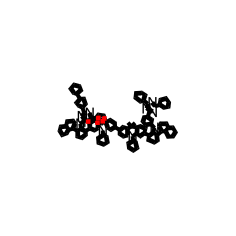 CC1(C)c2ccc(-c3ccc4c(c3)C(C)(C)c3ccc(-c5cccc6c7c8ccccc8ccc7n(-c7cccc(-c8nc(-c9ccccc9)nc(-c9ccccc9)n8)c7)c56)cc3N4c3ccccc3)cc2N(c2ccccc2)c2cc(-c3cccc4c5c6ccccc6ccc5n(-c5nc(-c6ccccc6)nc(-c6ccc(-c7ccccc7)cc6)n5)c34)ccc21